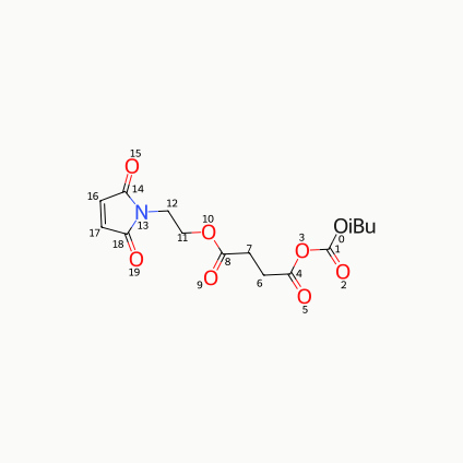 CC(C)COC(=O)OC(=O)CCC(=O)OCCN1C(=O)C=CC1=O